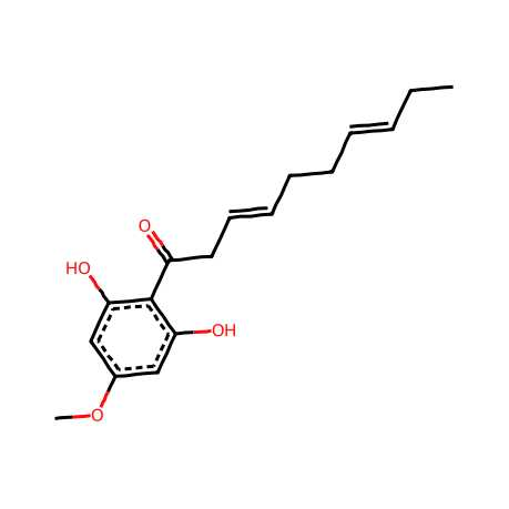 CCC=CCCC=CCC(=O)c1c(O)cc(OC)cc1O